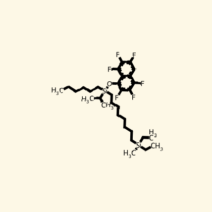 CCCCCC[Si](CCCCCCCC[Si](C)(CC)CC)(Oc1c(F)c(F)c(F)c2[c]c(F)c(F)c(F)c12)C(C)C